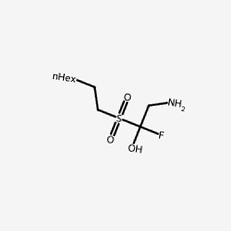 CCCCCCCCS(=O)(=O)C(O)(F)CN